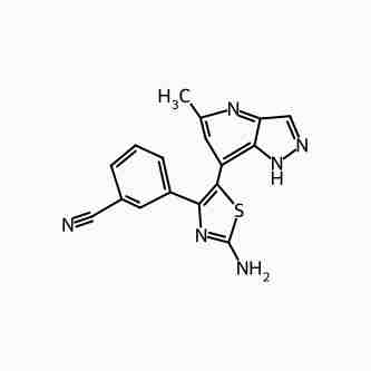 Cc1cc(-c2sc(N)nc2-c2cccc(C#N)c2)c2[nH]ncc2n1